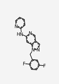 Fc1ccc(F)c(Cn2ncc3cnc(Nc4ccccn4)cc32)c1